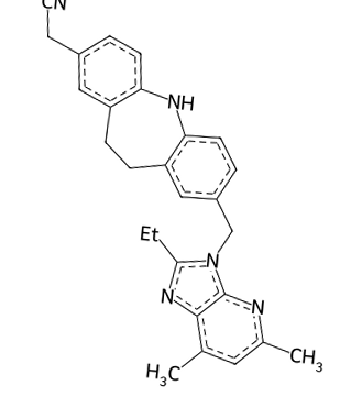 CCc1nc2c(C)cc(C)nc2n1Cc1ccc2c(c1)CCc1cc(CC#N)ccc1N2